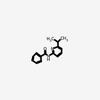 CC(C)c1cccc(NC(=O)c2ccccc2)n1